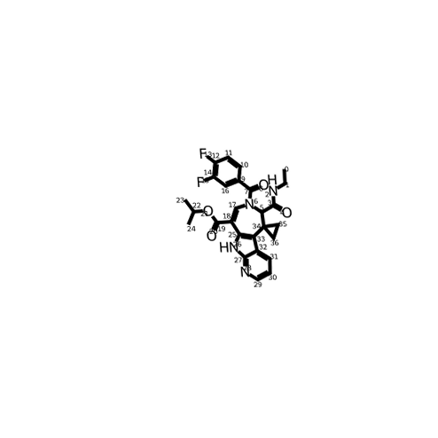 CCNC(=O)C1N(C(=O)c2ccc(F)c(F)c2)C=C(C(=O)OC(C)C)c2[nH]c3ncccc3c2C12CC2